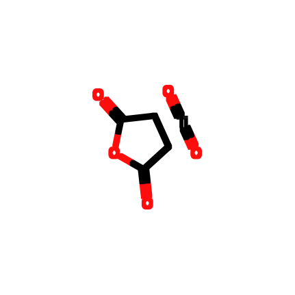 O=C1CCC(=O)O1.[O]=[Ti]=[O]